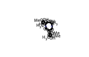 CO[C@@H]1[C@H](O)[C@@H](C)O[C@@H](OCC2C(C)OC(=O)/C=C/C(C)C(O[C@@H]3O[C@H](C)C[C@H](OC)[C@H]3O)C(C)CC(C)(O)C(=O)/C=C/C3OC32)[C@@H]1OC